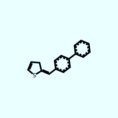 C1=CSC(=Cc2ccc(-c3ccccc3)cc2)C1